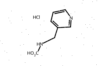 Cl.O=C(O)NCc1cccnc1